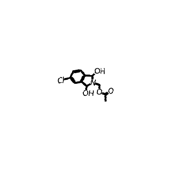 CC(=O)OCN1C(O)c2ccc(Cl)cc2C1O